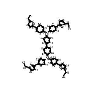 CCc1ccc(-c2ccc(N(c3ccc(-c4ccc(N(c5ccc(-c6ccc(CC)s6)cc5)c5ccc(-c6ccc(CC)s6)cc5)cc4)cc3)c3ccc(-c4ccc(CC)s4)cc3)cc2)s1